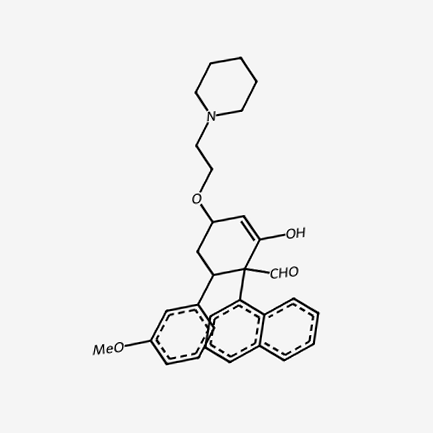 COc1cccc(C2CC(OCCN3CCCCC3)C=C(O)C2(C=O)c2cccc3ccccc23)c1